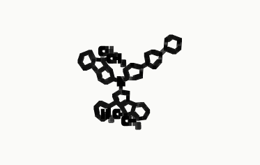 CC1(C)C2=CCCC=C2c2cc(N(c3ccc(-c4ccc(-c5ccccc5)cc4)cc3)c3ccc4c(c3)C(C)(C)c3ccccc3-4)cc(-c3ccccc3)c21